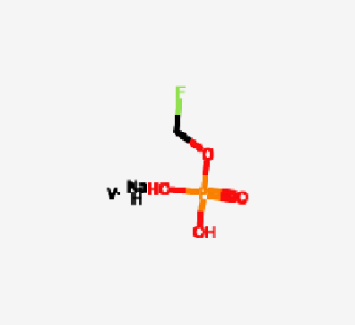 O=P(O)(O)OCF.[NaH].[V]